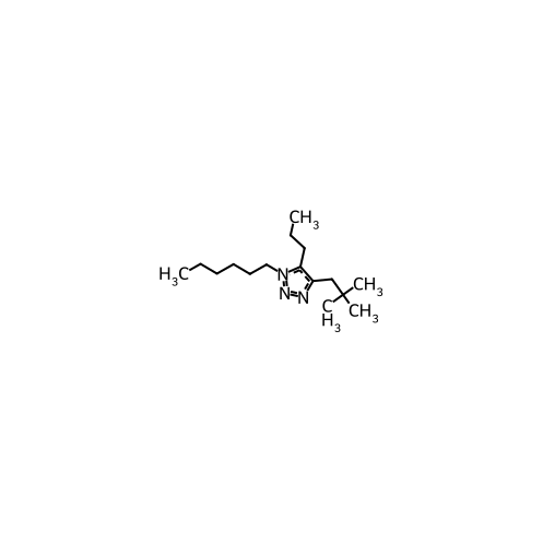 CCCCCCn1nnc(CC(C)(C)C)c1CCC